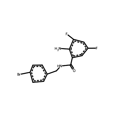 Nc1c(F)cc(F)cc1C(=O)NCc1ccc(Br)cc1